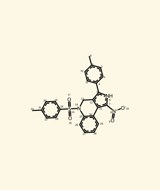 Cc1ccc(-c2[nH]c([N+](=O)[O-])c3c2CN(S(=O)(=O)c2ccc(C)cc2)c2ccccc2-3)cc1